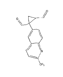 Cc1ccc2cc(C3(C=O)CC3C=O)ccc2n1